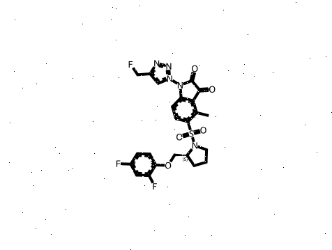 Cc1c(S(=O)(=O)N2CCC[C@H]2COc2ccc(F)cc2F)ccc2c1C(=O)C(=O)N2n1cc(CF)nn1